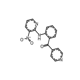 O=C(c1ccncc1)c1ccccc1Nc1ncccc1[N+](=O)[O-]